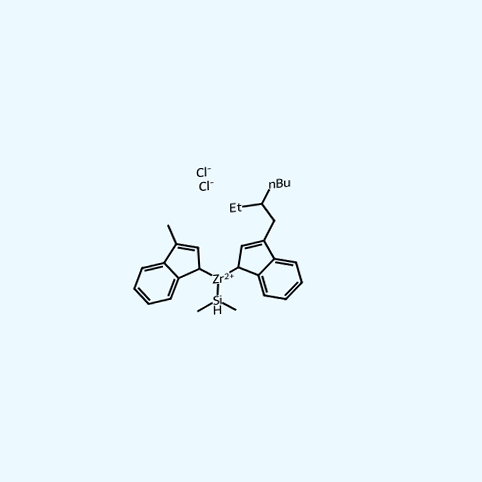 CCCCC(CC)CC1=C[CH]([Zr+2]([CH]2C=C(C)c3ccccc32)[SiH](C)C)c2ccccc21.[Cl-].[Cl-]